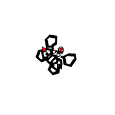 O=P(c1ccccc1)(c1ccccc1)c1ncccc1-c1cccnc1P(=O)(c1ccccc1)c1ccccc1